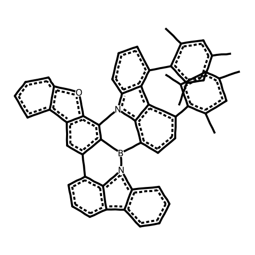 Cc1cc(C)c(-c2cccc3c2c2c(-c4c(C)cc(C)cc4C)ccc4c2n3-c2c3c(cc5c2oc2ccccc25)-c2cccc5c6ccccc6n(c25)B34)c(C)c1